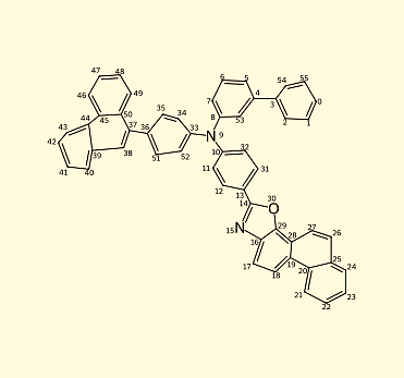 c1ccc(-c2cccc(N(c3ccc(-c4nc5ccc6c7ccccc7ccc6c5o4)cc3)c3ccc(-c4cc5ccccc5c5ccccc45)cc3)c2)cc1